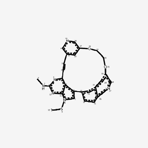 CNc1nc2c3c(cn(SI)c3n1)-c1ccc3ncc(cc3c1)OCCOc1cncc(c1)/C=C/2